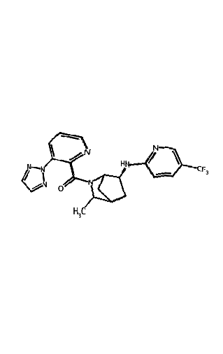 CC1C2CC([C@@H](Nc3ccc(C(F)(F)F)cn3)C2)N1C(=O)c1ncccc1-n1nccn1